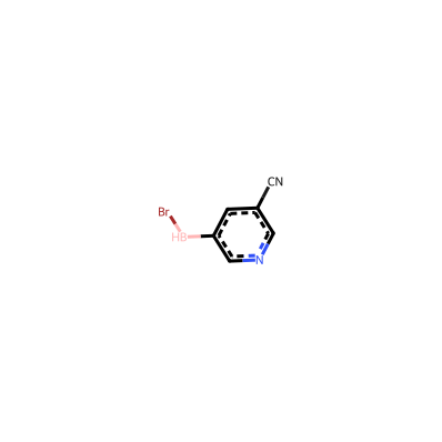 N#Cc1cncc(BBr)c1